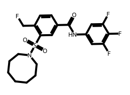 O=C(Nc1cc(F)c(F)c(F)c1)c1ccc(CF)c(S(=O)(=O)N2CCCCCCC2)c1